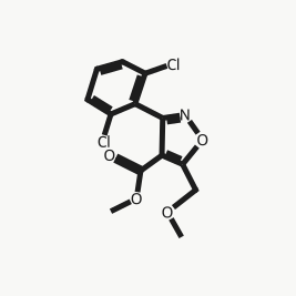 COCc1onc(-c2c(Cl)cccc2Cl)c1C(=O)OC